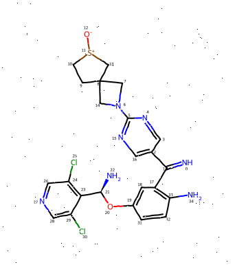 N=C(c1cnc(N2CC3(CC[S+]([O-])C3)C2)nc1)c1cc(O[C@H](N)c2c(Cl)cncc2Cl)ccc1N